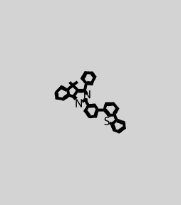 CC1(C)c2ccccc2-c2nc(-c3cccc(-c4cccc5c4sc4ccccc45)c3)nc(-c3ccccc3)c21